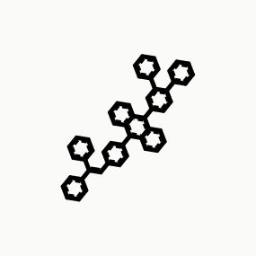 C(=C(c1ccccc1)c1ccccc1)c1ccc(-c2c3ccccc3c(-c3ccc(-c4ccccc4)c(-c4ccccc4)c3)c3ccccc23)cc1